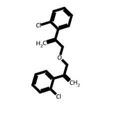 C=C(COCC(=C)c1ccccc1Cl)c1ccccc1Cl